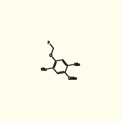 COc1cc(C(C)(C)C)c(OCF)cc1C(C)(C)C